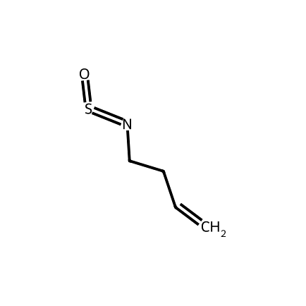 C=CCCN=S=O